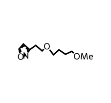 COCCCCOCCc1ccon1